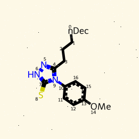 CCCCCCCCCCCCCc1n[nH]c(=S)n1-c1ccc(OC)cc1